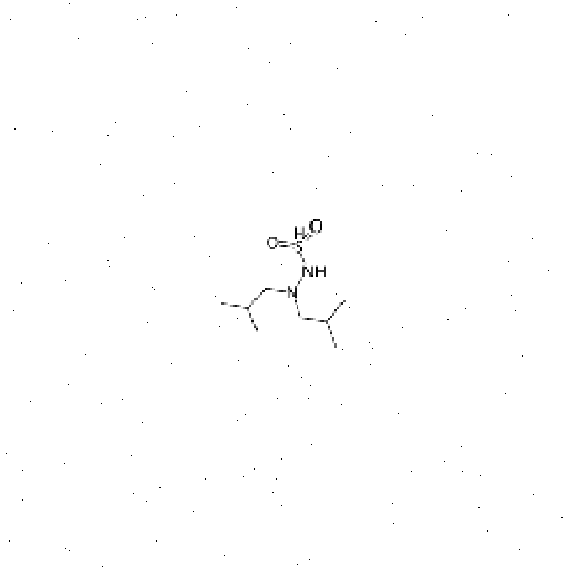 CC(C)CN(CC(C)C)N[SH](=O)=O